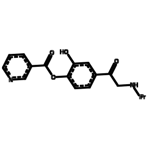 CC(C)NCC(=O)c1ccc(OC(=O)c2cccnc2)c(O)c1